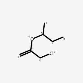 C=C(CCl)OC(C)CC